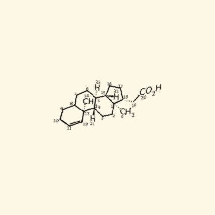 C[C@]12CC[C@H]3[C@@H](CCC4CCC=C[C@@]43C)[C@@H]1CC[C@@H]2CC(=O)O